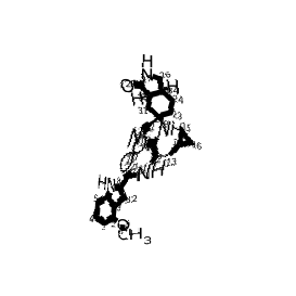 COc1cccc2[nH]c(C(=O)N[C@@H](CC3CC3)C(=O)N[C@@]3(C#N)CC[C@H]4CNC(=O)[C@@H]4C3)cc12